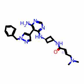 CN(C)C/C=C/C(=O)N[C@H]1C[C@@H](Nc2ncnc(N)c2-c2cnn(Cc3ccccc3)c2)C1